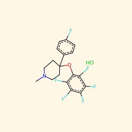 CN1CCC(Oc2c(F)c(F)c(F)c(F)c2F)(c2ccc(F)cc2)CC1.Cl